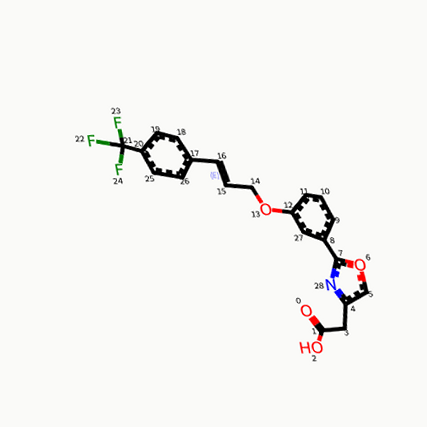 O=C(O)Cc1coc(-c2cccc(OC/C=C/c3ccc(C(F)(F)F)cc3)c2)n1